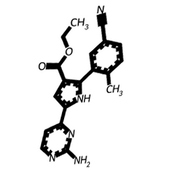 CCOC(=O)c1cc(-c2ccnc(N)n2)[nH]c1-c1cc(C#N)ccc1C